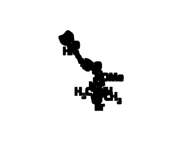 COc1cc2c(N[C@H](C)c3cccc(Br)c3)nc(C)nc2cc1OCC(=O)N1CCN(CCCCNC(=O)CC23CC4CC(CC(C4)C2)C3)CC1